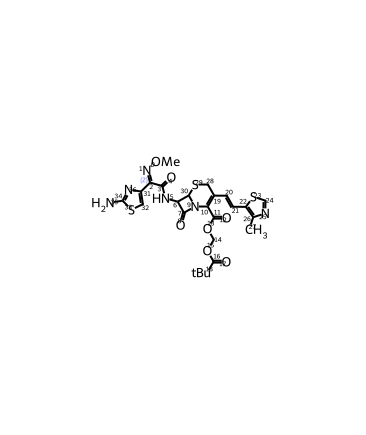 CO/N=C(\C(=O)NC1C(=O)N2C(C(=O)OCOC(=O)C(C)(C)C)=C(C=Cc3scnc3C)CSC12)c1csc(N)n1